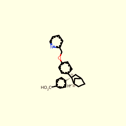 O=C(O)c1ccc([C@]2(c3ccc(OCc4ccccn4)cc3)CC3CC[C@@H]2C3)cc1